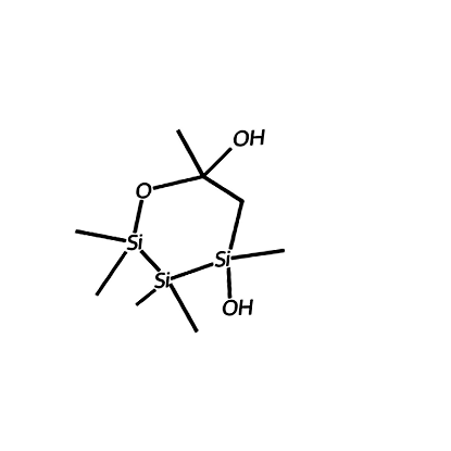 CC1(O)C[Si](C)(O)[Si](C)(C)[Si](C)(C)O1